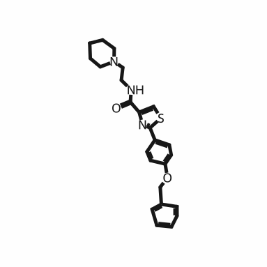 O=C(NCCN1CCCCC1)c1csc(-c2ccc(OCc3ccccc3)cc2)n1